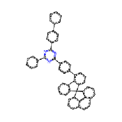 c1ccc(-c2ccc(-c3nc(-c4ccccc4)nc(-c4ccc(-c5cccc6c5-c5ccccc5C65c6cccc7ccc8cccc5c8c67)cc4)n3)cc2)cc1